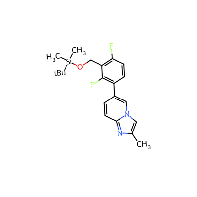 Cc1cn2cc(-c3ccc(F)c(CO[Si](C)(C)C(C)(C)C)c3F)ccc2n1